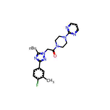 CCCCc1nc(-c2ccc(F)c(C)c2)nn1CC(=O)N1CCN(c2ncccn2)CC1